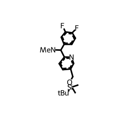 CNC(c1ccc(F)c(F)c1)c1ccc(CO[Si](C)(C)C(C)(C)C)cn1